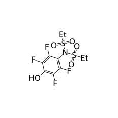 CCS(=O)(=O)N(c1c(F)c(F)c(O)c(F)c1F)S(=O)(=O)CC